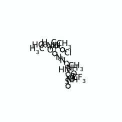 Cc1c(C(=O)NC2CC(C)(O)C2)c(-c2cccc(N3CCN(C4=CCC(C)(NNc5ccc(NSc6ccccc6)c(S(=O)(=O)C(F)(F)F)c5)C=C4)CC3)c2)c(-c2ccc(Cl)cc2)n1C